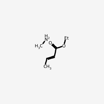 C/C=C/C(=O)OCC.CN